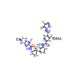 CCN1CCc2c(nc(C(=O)Nc3cccc(-c4cccc(NC(=O)c5cc(COC)c(CNc6ccnc(C)c6F)cn5)c4C)c3Cl)n2C)C1